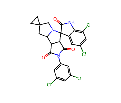 O=C1C2C3CC4(CC4)CN3C3(C(=O)Nc4c(Cl)cc(Cl)cc43)C2C(=O)N1c1cc(Cl)cc(Cl)c1